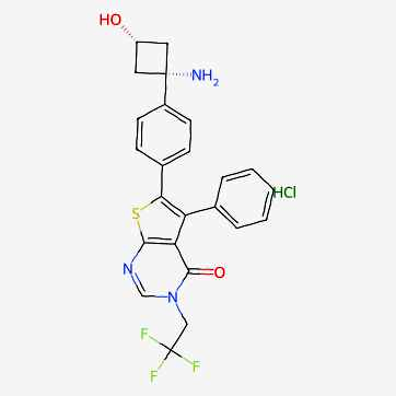 Cl.N[C@]1(c2ccc(-c3sc4ncn(CC(F)(F)F)c(=O)c4c3-c3ccccc3)cc2)C[C@H](O)C1